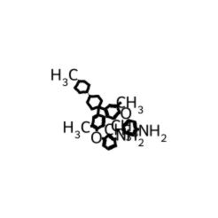 Cc1cc(C2(c3cc(C)c(Oc4cccc(N)c4)c(C)c3)CCC([C@H]3CC[C@H](C)CC3)CC2)cc(C)c1Oc1cccc(N)c1